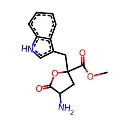 COC(=O)C1(Cc2c[nH]c3ccccc23)CC(N)C(=O)O1